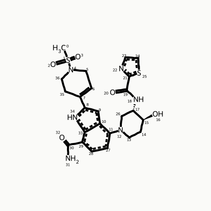 CS(=O)(=O)N1CC=C(c2cc3c(N4CC[C@H](O)[C@@H](NC(=O)c5nccs5)C4)ccc(C(N)=O)c3[nH]2)CC1